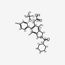 Cc1ccc(-c2c(C)c3c(c(C)c2[C@H](OC(C)(C)C)C(=O)O)CN(C(=O)C2CCCCC2)C3)cc1